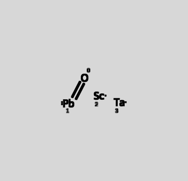 [O]=[Pb].[Sc].[Ta]